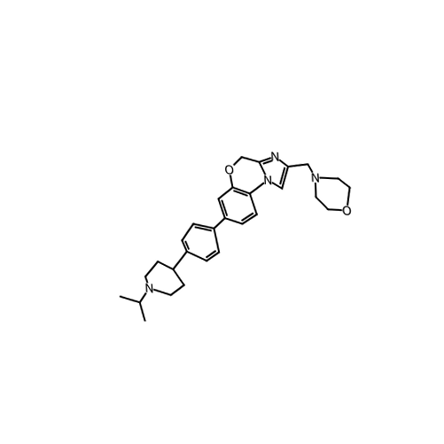 CC(C)N1CCC(c2ccc(-c3ccc4c(c3)OCc3nc(CN5CCOCC5)cn3-4)cc2)CC1